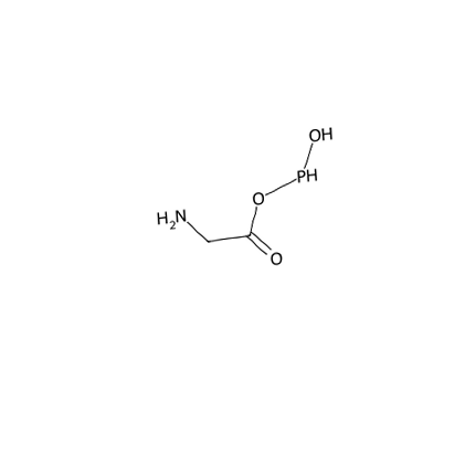 NCC(=O)OPO